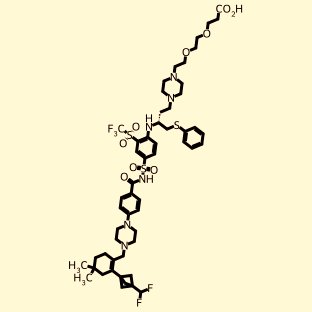 CC1(C)CCC(CN2CCN(c3ccc(C(=O)NS(=O)(=O)c4ccc(N[C@H](CCN5CCN(CCOCCOCCC(=O)O)CC5)CSc5ccccc5)c(S(=O)(=O)C(F)(F)F)c4)cc3)CC2)=C(C23CC(C(F)F)(C2)C3)C1